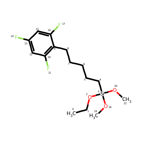 CCO[Si](CCCCCc1c(F)cc(F)cc1F)(OC)OC